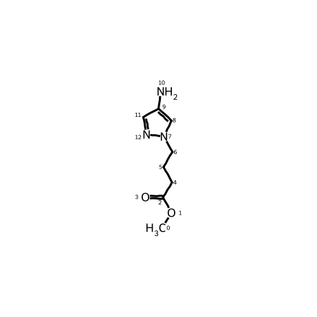 COC(=O)CCCn1cc(N)cn1